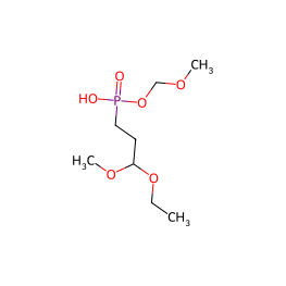 CCOC(CCP(=O)(O)OCOC)OC